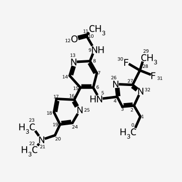 CCc1cc(Nc2cc(NC(C)=O)ncc2-c2ccc(CN(C)C)cn2)nc(C(C)(F)F)n1